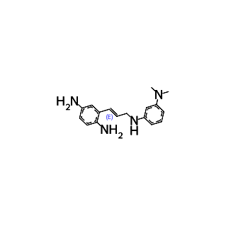 CN(C)c1cccc(NC/C=C/c2cc(N)ccc2N)c1